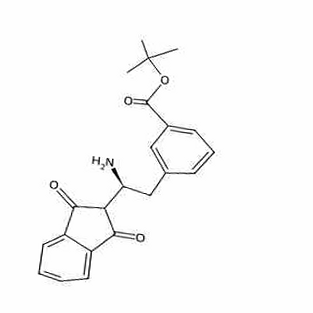 CC(C)(C)OC(=O)c1cccc(C[C@H](N)C2C(=O)c3ccccc3C2=O)c1